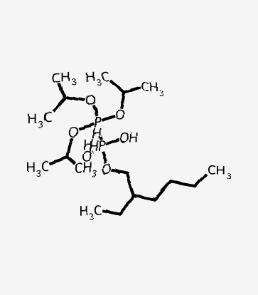 CCCCC(CC)CO[PH](O)(O)[PH](OC(C)C)(OC(C)C)OC(C)C